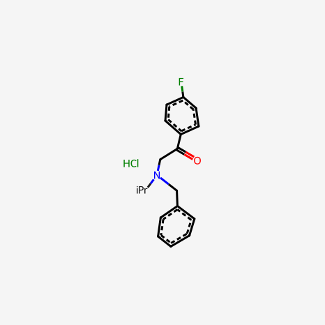 CC(C)N(CC(=O)c1ccc(F)cc1)Cc1ccccc1.Cl